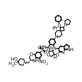 CC(C)Oc1ccccc1[C@@H]1CCCN1C1CC2(CCN(c3ccc(C(=O)NS(=O)(=O)c4cc5c(c([N+](=O)[O-])c4)N[C@@H](CN4CCC(C)(O)CC4)CO5)c(N4c5cc6cc[nH]c6nc5O[C@@H]5COC[C@H]54)c3)CC2)C1